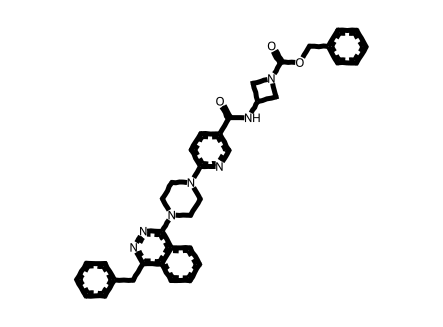 O=C(NC1CN(C(=O)OCc2ccccc2)C1)c1ccc(N2CCN(c3nnc(Cc4ccccc4)c4ccccc34)CC2)nc1